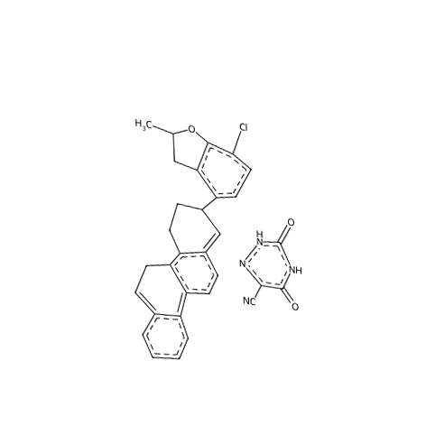 CC1Cc2c(C3C=c4ccc5c(c4CC3)CC=c3ccccc3=5)ccc(Cl)c2O1.N#Cc1n[nH]c(=O)[nH]c1=O